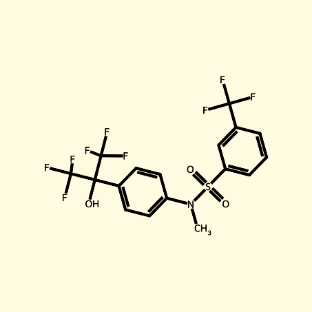 CN(c1ccc(C(O)(C(F)(F)F)C(F)(F)F)cc1)S(=O)(=O)c1cccc(C(F)(F)F)c1